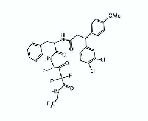 COc1ccc(C(CC(=O)NC(Cc2ccccc2)C(=O)N[C@H](C(=O)C(F)(F)C(=O)NCC(F)(F)F)C(C)C)c2ccc(Cl)c(Cl)c2)cc1